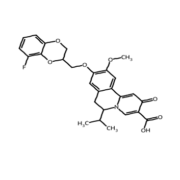 COc1cc2c(cc1OCC1COc3cccc(F)c3O1)CC(C(C)C)n1cc(C(=O)O)c(=O)cc1-2